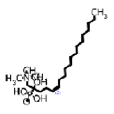 CCCCCCCCCCCCC/C=C\CCC(O)(C[N+](C)(C)C)P(=O)(O)O